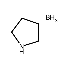 B.C1CCNC1